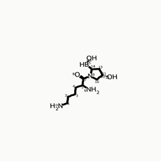 NCCCCC(N)C(=O)N1C[C@@H](O)CC1BO